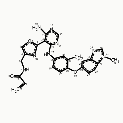 C=CC(=O)NCc1coc(-c2c(N)ncnc2Nc2ccc(Oc3ccc4c(c3)ncn4C)c(C)c2)n1